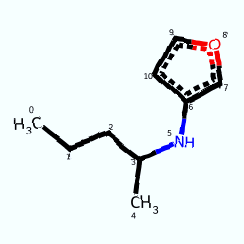 CCCC(C)Nc1[c]occ1